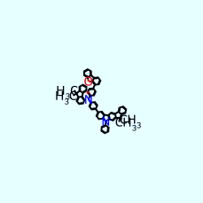 CC1(C)c2ccccc2-c2cc3c(cc21)N(c1ccccc1)C1CC=C(c2ccc(N(c4ccc(-c5cccc6c5oc5ccccc56)cc4)c4cccc5c4-c4ccccc4C5(C)C)cc2)C=C31